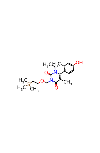 CCn1c(-c2ccc(O)cc2C)c(C)c(=O)n(COCCS(C)(C)C)c1=O